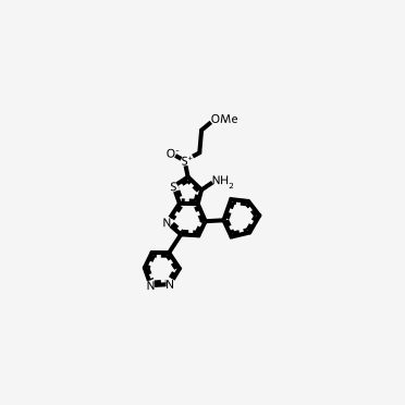 COCC[S+]([O-])c1sc2nc(-c3ccnnc3)cc(-c3ccccc3)c2c1N